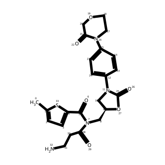 Cc1ccc(C(=O)N(C[C@H]2CN(c3ccc(N4CCOCC4=O)cc3)C(=O)O2)C(=O)CCN)s1